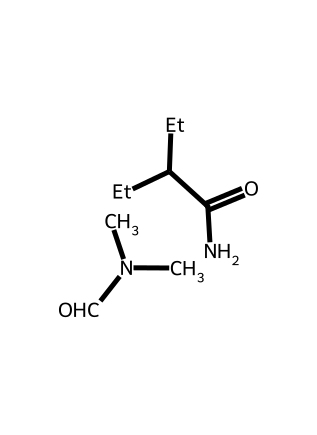 CCC(CC)C(N)=O.CN(C)C=O